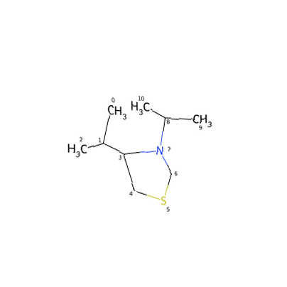 CC(C)C1CSCN1C(C)C